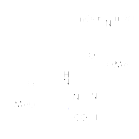 CCCCCCCCN(CCCCCCCC)CCCOc1cc2c(Nc3cc(OCc4ccccc4)c(OC)cc3/C=C/C(=O)O)ncnc2cc1OC